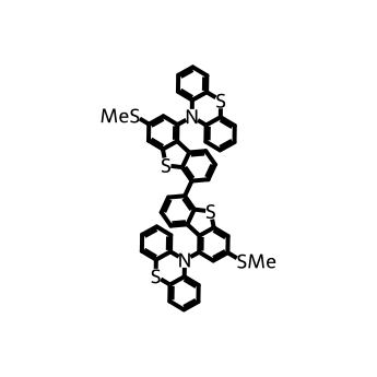 CSc1cc(N2c3ccccc3Sc3ccccc32)c2c(c1)sc1c(-c3cccc4c3sc3cc(SC)cc(N5c6ccccc6Sc6ccccc65)c34)cccc12